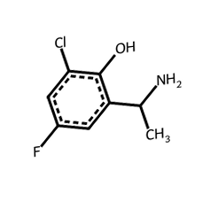 CC(N)c1cc(F)cc(Cl)c1O